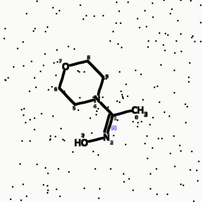 C/C(=N/O)N1CCOCC1